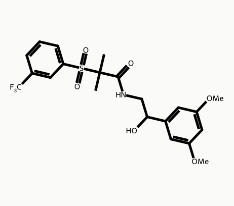 COc1cc(OC)cc(C(O)CNC(=O)C(C)(C)S(=O)(=O)c2cccc(C(F)(F)F)c2)c1